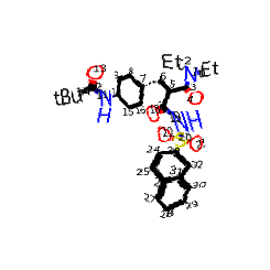 CCN(CC)C(=O)C(C[C@H]1CC[C@@H](NC(=O)C(C)(C)C)CC1)C(=O)NS(=O)(=O)c1ccc2ccccc2c1